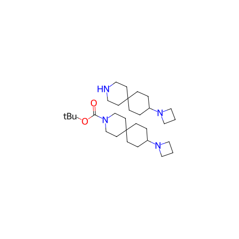 C1CN(C2CCC3(CCNCC3)CC2)C1.CC(C)(C)OC(=O)N1CCC2(CCC(N3CCC3)CC2)CC1